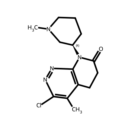 Cc1c(Cl)nnc2c1CCC(=O)N2[C@@H]1CCCN(C)C1